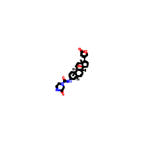 C[C@]12CC[C@H](NC(=O)N3CCNC(=O)C3)C[C@H]1CC[C@@H]1[C@@H]2CC[C@]2(C)[C@@H](C3=CC(=O)OC3)CC[C@]12O